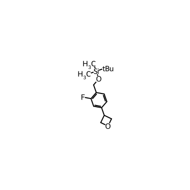 CC(C)(C)[Si](C)(C)OCc1ccc(C2COC2)cc1F